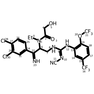 CCN(C(=O)CO)C(CN/C(=N\C#N)Nc1cc(C(F)(F)F)ccc1OC(F)(F)F)C(=N)c1ccc(Cl)c(Cl)c1